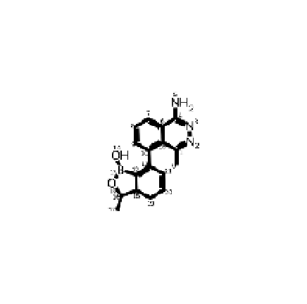 Cc1nnc(N)c2cccc(C3=C4B(O)OC(C)C4CC=C3)c12